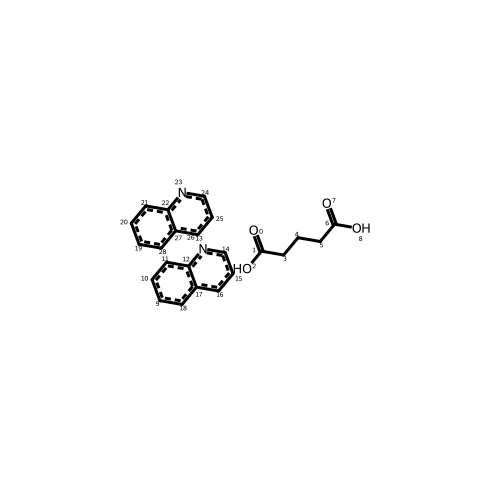 O=C(O)CCCC(=O)O.c1ccc2ncccc2c1.c1ccc2ncccc2c1